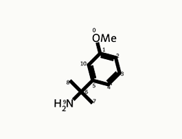 COc1cc[c]c(C(C)(C)N)c1